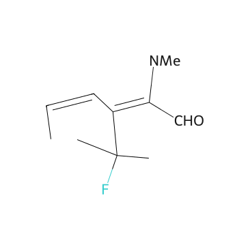 C/C=C\C(=C(\C=O)NC)C(C)(C)F